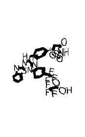 O=C(O)C(F)(F)F.O=C1C[C@@H](c2ccc(C[C@H](Nc3nc4ccccc4s3)c3nc4ccc(C(F)(F)F)cc4[nH]3)cc2)S(=O)(=O)N1